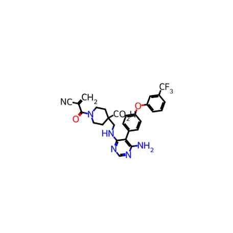 C=C(C#N)C(=O)N1CCC(CNc2ncnc(N)c2-c2ccc(Oc3cccc(C(F)(F)F)c3)cc2)(C(=O)O)CC1